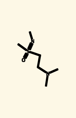 CN=S(C)(=O)CCN(C)C